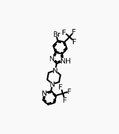 FC(F)(F)c1cc2[nH]c(N3CCN(c4ncccc4C(F)(F)F)CC3)nc2cc1Br